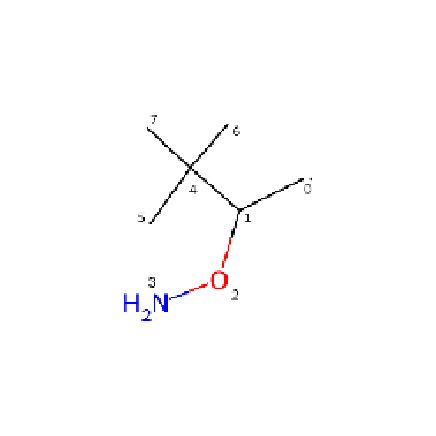 [CH2]C(ON)C(C)(C)C